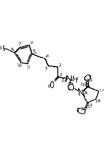 O=C(CCCc1ccc(I)cc1)NON1C(=O)CCC1=O